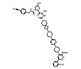 C#Cc1ccc(CNC(=O)[C@@H]2C[C@@H](O)CN2C(=O)[C@@H](NC(=O)[C@H]2CCC3(CC2)C[C@H](N2CCN(c4cnc(N5CCN(c6cc(-c7ccccc7O)nnc6NCC)CC5)nc4)CC2)C3)C(C)(C)C)cc1